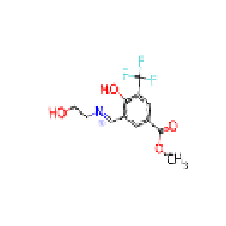 COC(=O)c1cc(/C=N/CCO)c(O)c(C(F)(F)F)c1